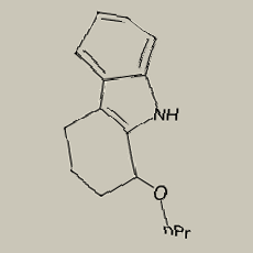 CCCOC1CCCc2c1[nH]c1ccccc21